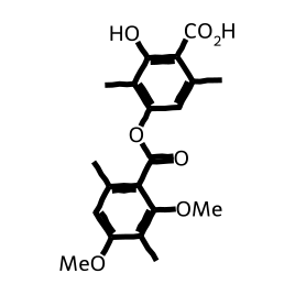 COc1cc(C)c(C(=O)Oc2cc(C)c(C(=O)O)c(O)c2C)c(OC)c1C